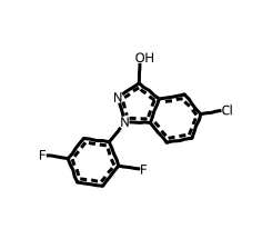 Oc1nn(-c2cc(F)ccc2F)c2ccc(Cl)cc12